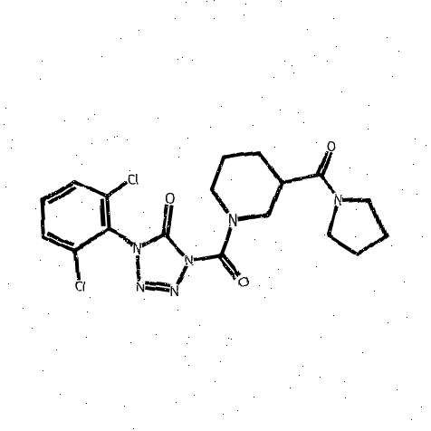 O=C(C1CCCN(C(=O)n2nnn(-c3c(Cl)cccc3Cl)c2=O)C1)N1CCCC1